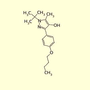 CCCCOc1ccc(-c2nn(C(C)(C)C)c(C)c2O)cc1